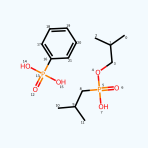 CC(C)COP(=O)(O)CC(C)C.O=P(O)(O)c1ccccc1